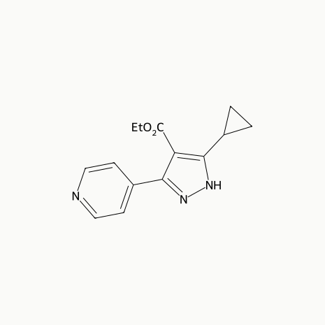 CCOC(=O)c1c(-c2ccncc2)n[nH]c1C1CC1